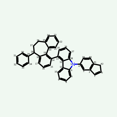 C1=Cc2cc(-n3c4ccccc4c4c(-c5cccc6c5-c5ccccc5CCC6c5ccccc5)cccc43)ccc2C1